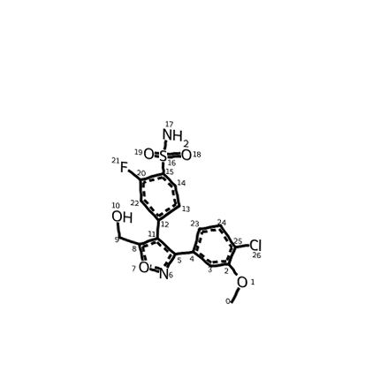 COc1cc(-c2noc(CO)c2-c2ccc(S(N)(=O)=O)c(F)c2)ccc1Cl